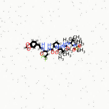 CN(C[C@@H](NC(=O)N[C@H](C(=O)N1CCC[C@H]1C(=O)N[C@@H](CC(F)F)C(=O)NCCc1ccc2c(c1)OCO2)C(C)(C)C)C(C)(C)C)S(C)(=O)=O